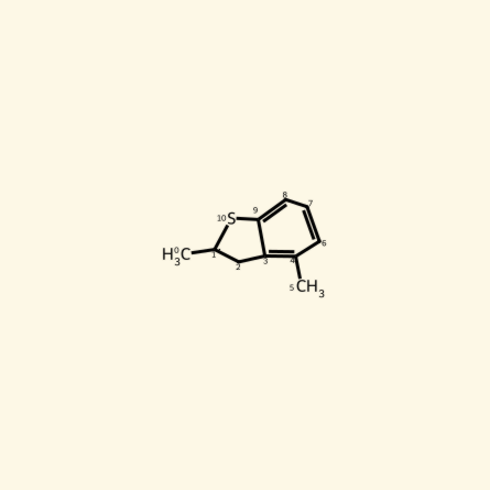 C[C]1Cc2c(C)cccc2S1